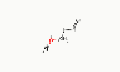 C=C[CH][SiH2]O[SiH3]